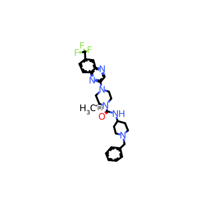 C[C@@H]1CN(c2cnc3cc(C(F)(F)F)ccc3n2)CCN1C(=O)NC1CCN(Cc2ccccc2)CC1